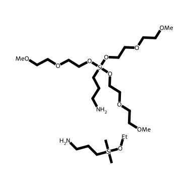 CCO[Si](C)(C)CCCN.COCCOCCO[Si](CCCN)(OCCOCCOC)OCCOCCOC